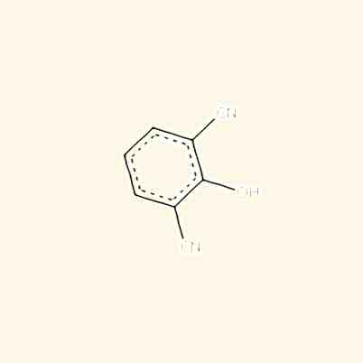 N#Cc1cccc(C#N)c1O